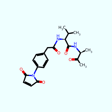 CC(=O)[C@H](C)NC(=O)[C@@H](NC(=O)Cc1ccc(N2C(=O)C=CC2=O)cc1)C(C)C